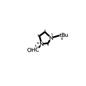 CC(C)(C)N1CCN(C=O)C1